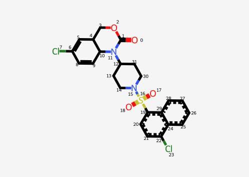 O=C1OCC2C=C(Cl)C=CC2N1C1CCN(S(=O)(=O)c2ccc(Cl)c3ccccc23)CC1